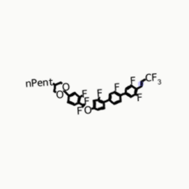 CCCCCC1COC(c2ccc(C(F)(F)Oc3ccc(-c4ccc(-c5cc(F)c(/C=C/C(F)(F)F)c(F)c5)c(F)c4)c(F)c3)c(F)c2)OC1